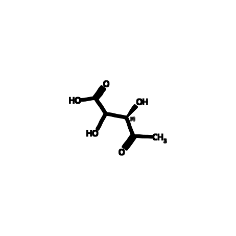 CC(=O)[C@H](O)C(O)C(=O)O